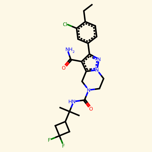 CCc1ccc(-c2nn3c(c2C(N)=O)CN(C(=O)NC(C)(C)C2CC(F)(F)C2)CC3)cc1Cl